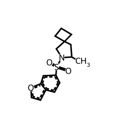 CC1CC2(CCC2)CN1S(=O)(=O)c1ccc2ccoc2c1